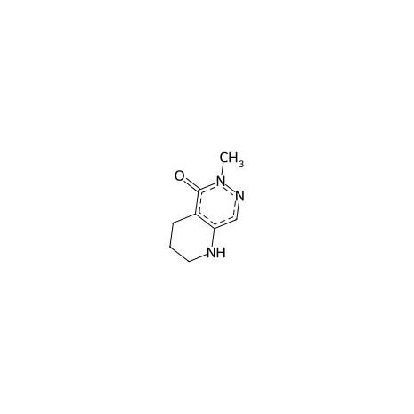 Cn1ncc2c(c1=O)CCCN2